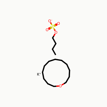 C1CCCCCCOCCCCC1.CCCCOS(=O)(=O)[O-].[K+]